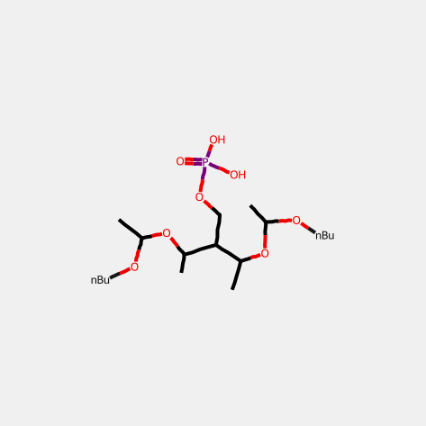 CCCCOC(C)OC(C)C(COP(=O)(O)O)C(C)OC(C)OCCCC